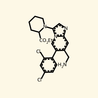 CCOC(=O)C1CCCCN1c1cnc2cc(CN)c(-c3ccc(Cl)cc3Cl)cn12